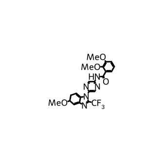 COc1cccc(C(=O)Nc2cnc(-n3c(C(F)(F)F)nc4c3=CCC(OC)C=4)cn2)c1OC